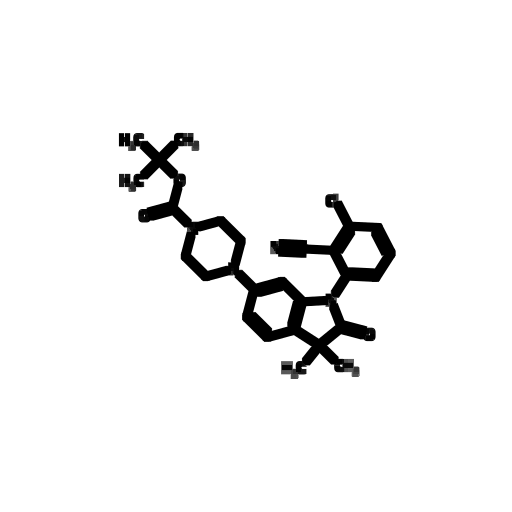 CC(C)(C)OC(=O)N1CCN(c2ccc3c(c2)N(c2cccc(Cl)c2C#N)C(=O)C3(C)C)CC1